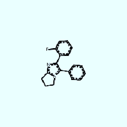 Fc1ccccc1-c1nc2n(c1-c1ccccc1)CCC2